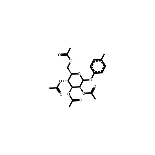 CC(=O)OC[C@H]1OC(Oc2ccc(I)cc2)[C@@H](OC(C)=O)[C@@H](OC(C)=O)[C@@H]1OC(C)=O